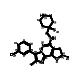 Cc1nc2c3c(c(NCC4(F)CCNCC4)nn2c1-c1ccnc(Cl)c1)C[C@@H](C)O3